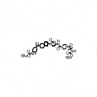 CCN(C1CCc2cc(-n3ccc(NC(=O)N4CCN(C(=O)C(C)(C)NC(=O)OC(C)(C)C)CC4)nc3=O)ccc2C1)[C@H]1CC[C@H](NC(=O)OC(C)(C)C)CC1